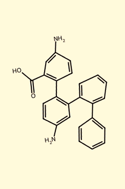 Nc1ccc(-c2ccc(N)cc2-c2ccccc2-c2ccccc2)c(C(=O)O)c1